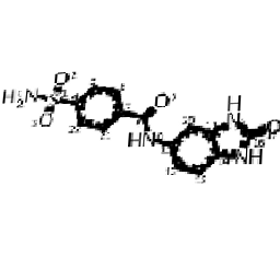 NS(=O)(=O)c1ccc(C(=O)Nc2ccc3[nH]c(=O)[nH]c3c2)cc1